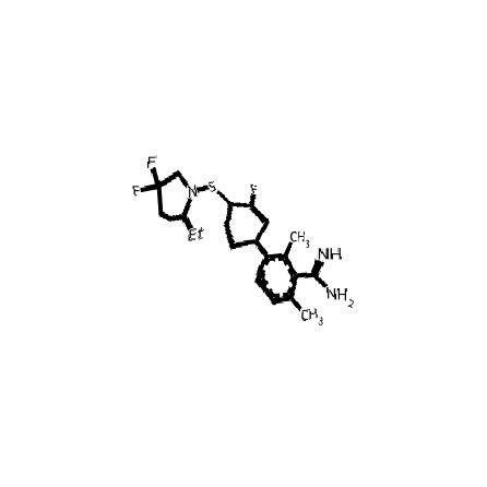 CCC1CC(F)(F)CN1SC1CCC(c2ccc(C)c(C(=N)N)c2C)C=C1F